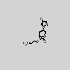 C=CCON1C(=O)N2CC(n3cc(F)cn3)=CC1C2